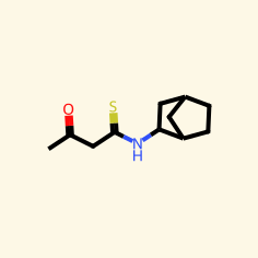 CC(=O)CC(=S)NC1CC2CCC1C2